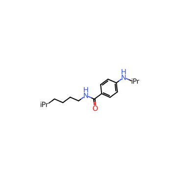 CC(C)CCCCNC(=O)c1ccc(NC(C)C)cc1